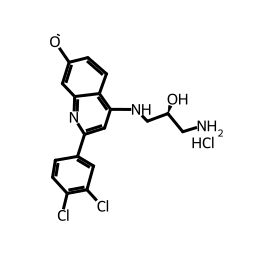 COc1ccc2c(NC[C@@H](O)CN)cc(-c3ccc(Cl)c(Cl)c3)nc2c1.Cl